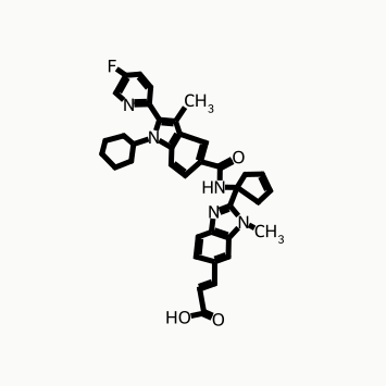 Cc1c(-c2ccc(F)cn2)n(C2CCCCC2)c2ccc(C(=O)NC3(c4nc5ccc(/C=C/C(=O)O)cc5n4C)CC=CC3)cc12